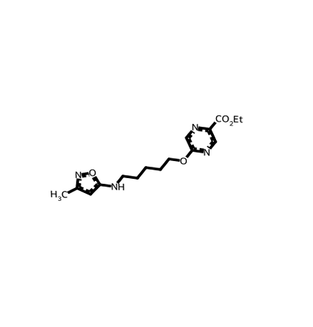 CCOC(=O)c1cnc(OCCCCCNc2cc(C)no2)cn1